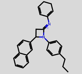 CCCc1ccc(N2/C(=N/C3=CCCC=C3)CC2c2ccc3ccccc3c2)cc1